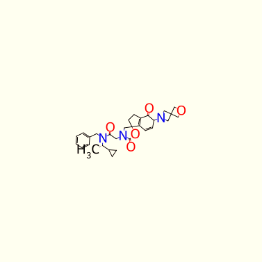 C[C@@H](C1CC1)N(Cc1ccccc1)C(=O)CN1CC2(CCC3=C2C=CC(N2CC4(COC4)C2)C3=O)OC1=O